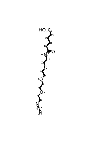 [N-]=[N+]=NCCOCCOCCOCCNC(=O)CCCCC(=O)O